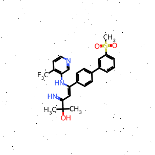 CC(C)(O)C(=N)/C=C(\Nc1cnccc1C(F)(F)F)c1ccc(-c2cccc(S(C)(=O)=O)c2)cc1